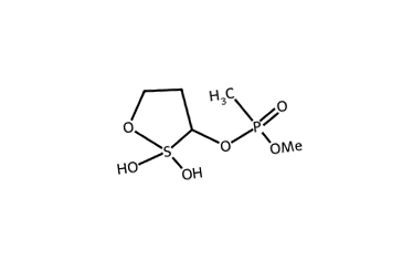 COP(C)(=O)OC1CCOS1(O)O